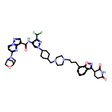 O=C1CCC(c2noc3c(CCCN4CCN(CC5CCC(n6cc(NC(=O)c7cnn8ccc(N9CC%10CC9CO%10)nc78)c(C(F)F)n6)CC5)CC4)cccc23)C(=O)N1